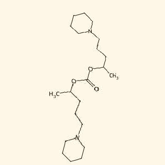 CC(CCCN1CCCCC1)OC(=O)OC(C)CCCN1CCCCC1